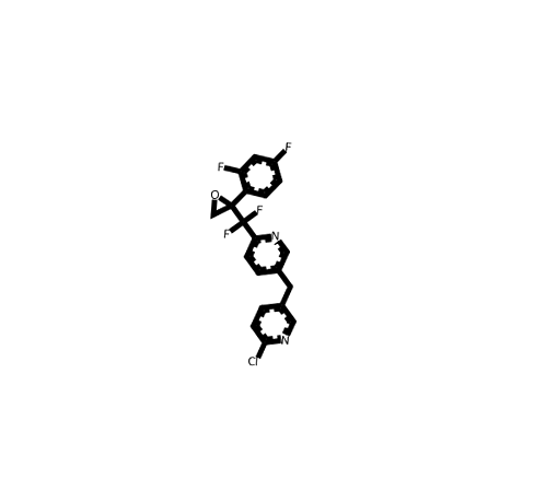 Fc1ccc(C2(C(F)(F)c3ccc(Cc4ccc(Cl)nc4)cn3)CO2)c(F)c1